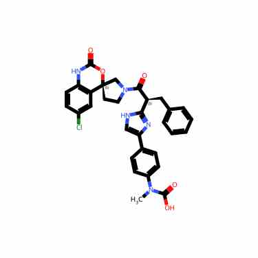 CN(C(=O)O)c1ccc(-c2c[nH]c([C@H](Cc3ccccc3)C(=O)N3CC[C@]4(C3)OC(=O)Nc3ccc(Cl)cc34)n2)cc1